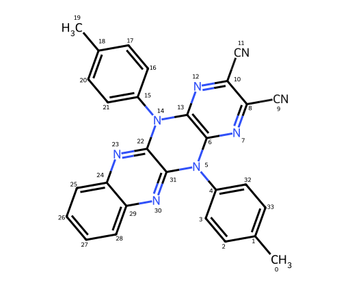 Cc1ccc(N2c3nc(C#N)c(C#N)nc3N(c3ccc(C)cc3)c3nc4ccccc4nc32)cc1